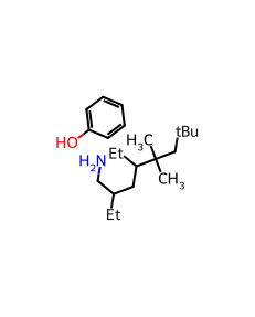 CCC(CN)CC(CC)C(C)(C)CC(C)(C)C.Oc1ccccc1